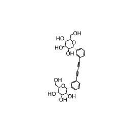 OC[C@H]1O[C@H](c2cccc(C#CC#Cc3cccc([C@H]4O[C@H](CO)[C@@H](O)[C@H](O)[C@@H]4O)c3)c2)[C@H](O)[C@@H](O)[C@@H]1O